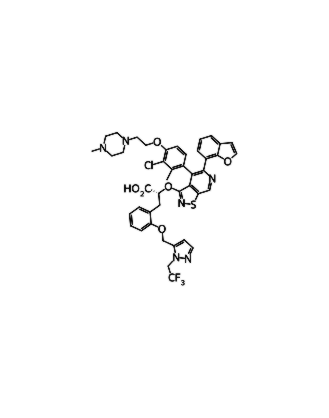 Cc1c(-c2c(-c3cccc4ccoc34)ncc3snc(O[C@H](Cc4ccccc4OCc4ccnn4CC(F)(F)F)C(=O)O)c23)ccc(OCCN2CCN(C)CC2)c1Cl